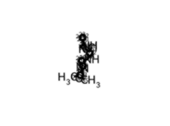 CC1CN(c2ncc3c(Nc4ccc(Cl)c(-c5ncc(-c6ccccc6)[nH]5)c4)cccc3n2)CC(C)O1